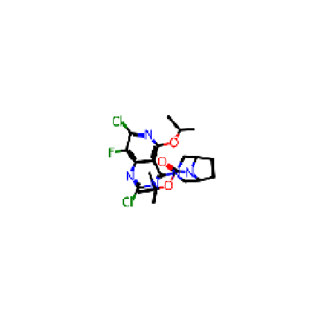 CC(C)Oc1nc(Cl)c(F)c2nc(Cl)nc(N3CC4CCC(C3)N4C(=O)OC(C)(C)C)c12